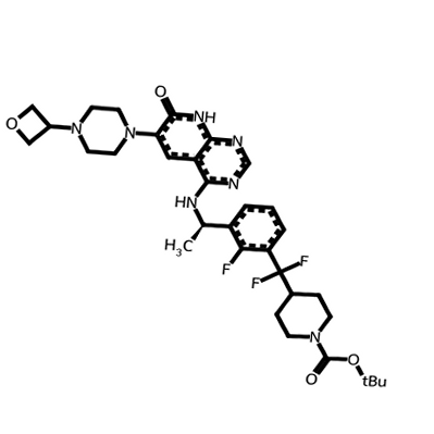 C[C@@H](Nc1ncnc2[nH]c(=O)c(N3CCN(C4COC4)CC3)cc12)c1cccc(C(F)(F)C2CCN(C(=O)OC(C)(C)C)CC2)c1F